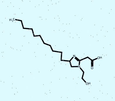 CCCCCCCCCCCC1CN(CCO)C(CC(=O)O)=N1